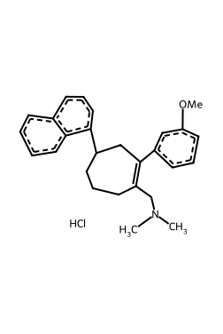 COc1cccc(C2=C(CN(C)C)CCCC(c3cccc4ccccc34)C2)c1.Cl